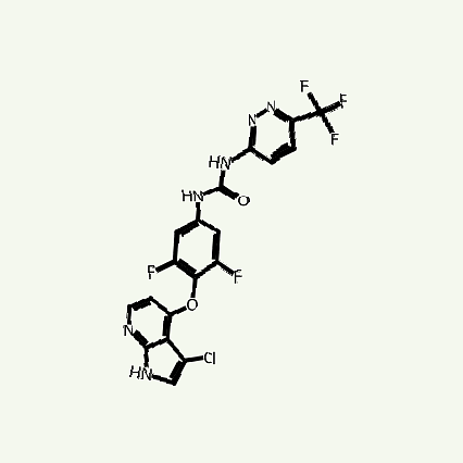 O=C(Nc1cc(F)c(Oc2ccnc3[nH]cc(Cl)c23)c(F)c1)Nc1ccc(C(F)(F)F)nn1